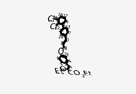 CCOC(=O)[C@H](Cc1ccc(OC/C=C/c2ccc(-c3cccc(Cl)c3Cl)cc2)cc1)OCC